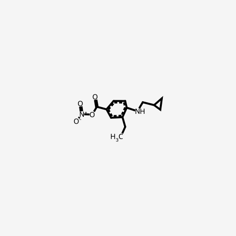 CCc1cc(C(=O)O[N+](=O)[O-])ccc1NCC1CC1